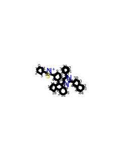 C1=CCCC(C2=[N+]=C(C3=CC=CC(C4=C5C=CCCC5C5CCCCC5C4c4cc(-c5ccccc5)nc(C5=CCC6C=CC=CC6=C5)n4)C3)S2)=C1